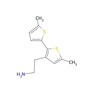 Cc1ccc(-c2sc(C)cc2CCN)s1